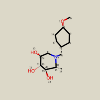 CO[C@H]1CC[C@H](CN2C[C@H](O)[C@@H](O)[C@H](O)[C@H]2C)CC1